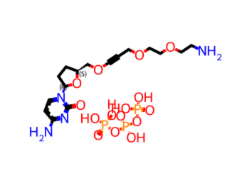 NCCOCCOCC#COC[C@@H]1CC[C@H](n2ccc(N)nc2=O)O1.O=P(O)(O)OP(=O)(O)OP(=O)(O)O